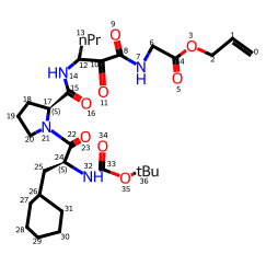 C=CCOC(=O)CNC(=O)C(=O)C(CCC)NC(=O)[C@@H]1CCCN1C(=O)[C@H](CC1CCCCC1)NC(=O)OC(C)(C)C